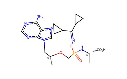 C[C@H](Cn1cnc2c(N)ncnc21)OCP(=O)(N[C@@H](C)C(=O)O)ON=C(C1CC1)C1CC1